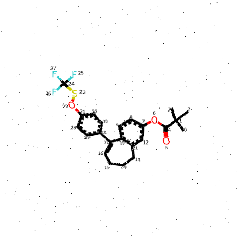 CC(C)(C)C(=O)Oc1ccc2c(c1)CCCC=C2c1ccc(OSC(F)(F)F)cc1